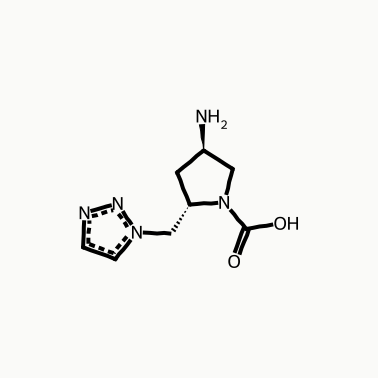 N[C@@H]1C[C@@H](Cn2ccnn2)N(C(=O)O)C1